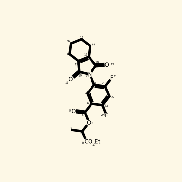 CCOC(=O)C(C)OC(=O)c1cc(N2C(=O)C3=C(CCCC3)C2=O)c(F)cc1F